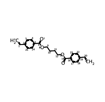 C=Cc1ccc(C(=O)OCCCCOC(=O)c2ccc(C=C)cc2)cc1